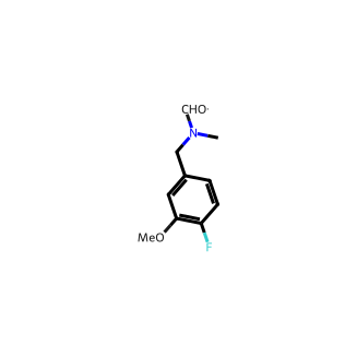 COc1cc(CN(C)[C]=O)ccc1F